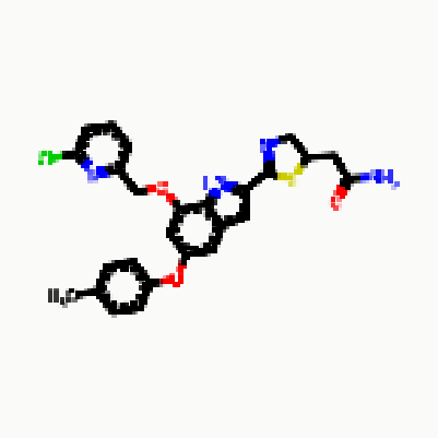 Cc1ccc(Oc2cc(OCc3cccc(Cl)n3)c3[nH]c(C4=NCC(CC(N)=O)S4)cc3c2)cc1